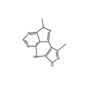 Cc1n[nH]c2c1-c1nn(C)c3ncnc(c13)N2